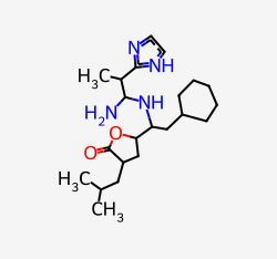 CC(C)CC1CC(C(CC2CCCCC2)NC(N)C(C)c2ncc[nH]2)OC1=O